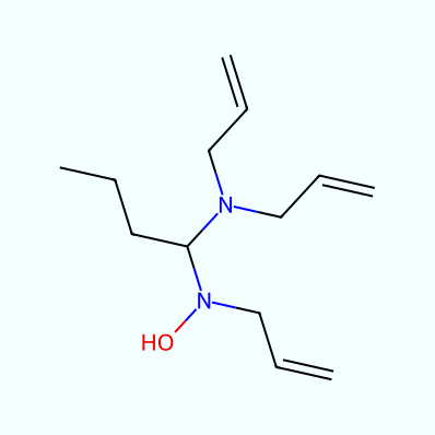 C=CCN(O)C(CCC)N(CC=C)CC=C